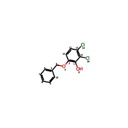 Oc1c(OCc2ccccc2)ccc(Cl)c1Cl